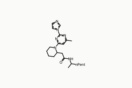 CCCCCC(C)NC(=O)CC1CCCCN1c1cc(C)nc(-n2ccnc2)n1